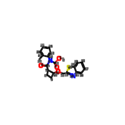 COC(=O)N(C(=O)C1CCC1OCc1nc2ccccc2s1)c1ccccc1C